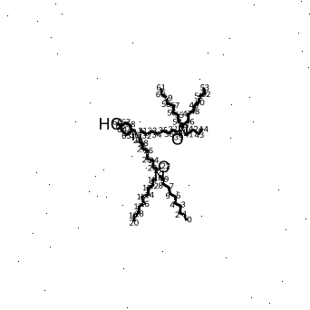 CCCCCCCCCCN(CCCCCCCCCC)C(=O)CCCCCCCN(CCCCCCCC(=O)N(CCCC)C(CCCCCCCC)CCCCCCCC)C1CCC(O)CC1